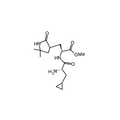 COC(=O)[C@H](CC1CC(C)(C)NC1=O)NC(=O)[C@@H](N)CC1CC1